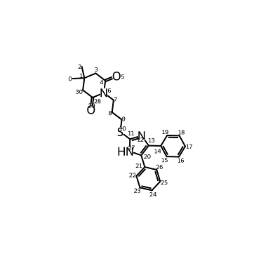 CC1(C)CC(=O)N(CCCSc2nc(-c3ccccc3)c(-c3ccccc3)[nH]2)C(=O)C1